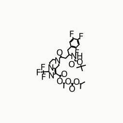 CC(C)OC(=O)OC(C)OC(=O)c1nc(C(F)(F)F)n2c1CN(C(=O)CC(Cc1cc(F)c(F)cc1F)NC(=O)OC(C)(C)C)CC2